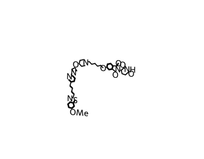 COc1ccc2nc(/C=C/C=C/c3ccc(N4CC(OC5CCN(CCCCCOc6ccc7c(c6)C(=O)N(C6CCC(=O)NC6=O)C7=O)CC5)C4)nc3)sc2c1